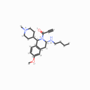 C#CC(=O)N1C(C2CCN(C)CC2)c2ccc(OC)cc2C[C@@H]1NCCCC